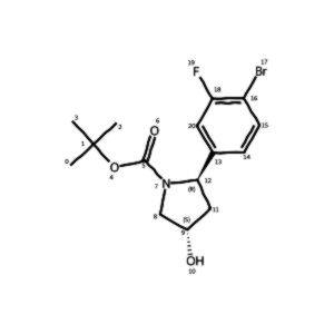 CC(C)(C)OC(=O)N1C[C@@H](O)C[C@@H]1c1ccc(Br)c(F)c1